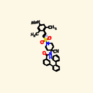 CNc1cc(C)c(/C=C/S(=O)(=O)N2CCC(C#N)(NC(=O)c3cccc(-c4ccccc4-c4ccccc4)c3)CC2)c(C)c1